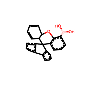 OB(O)c1cccc2c1OC1C=CC=CC1C21c2ccccc2-c2ccccc21